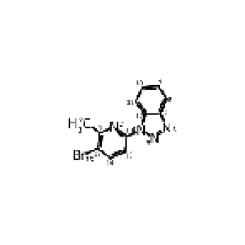 Cc1nc(-n2nnc3ccccc32)ccc1Br